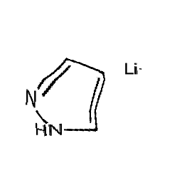 [Li].c1cn[nH]c1